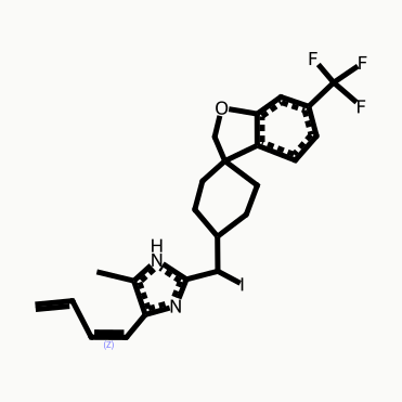 C=C/C=C\c1nc(C(I)C2CCC3(CC2)COc2cc(C(F)(F)F)ccc23)[nH]c1C